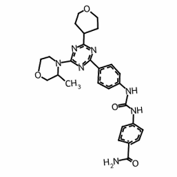 CC1COCCN1c1nc(-c2ccc(NC(=O)Nc3ccc(C(N)=O)cc3)cc2)nc(C2CCOCC2)n1